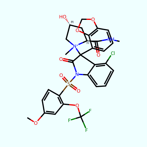 CNC(=O)[C@@H]1C[C@@H](O)C[N+]1(C)C1(c2cccc3c2OCO3)C(=O)N(S(=O)(=O)c2ccc(OC)cc2OC(F)(F)F)c2cccc(Cl)c21